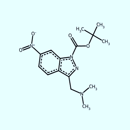 CN(C)Cc1nn(C(=O)OC(C)(C)C)c2cc([N+](=O)[O-])ccc12